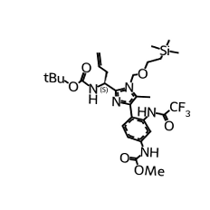 C=CC[C@H](NC(=O)OC(C)(C)C)c1nc(-c2ccc(NC(=O)OC)cc2NC(=O)C(F)(F)F)c(C)n1COCC[Si](C)(C)C